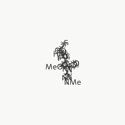 CNc1ncc(-c2nc(N3CCOCC3)c3cc(-c4cccc(NS(=O)(=O)CCCF)c4F)cc(OC)c3n2)cn1